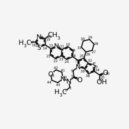 CCN(C(=O)Cn1c(-c2ccc3nc(-c4sc(C)nc4C)ccc3c2)c(C2CCCCC2)c2sc(C(=O)O)cc21)N1CCOCC1